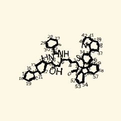 C=CC1=C(/C=C/C2C[C@@H](O)C(c3ccc(-c4ccccc4)cc3)NC(c3ccccc3)N2)Sc2cc(-c3cccc4cccnc34)ccc2C12c1ccccc1-c1ccccc12